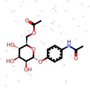 CC(=O)Nc1ccc(O[C@H]2O[C@H](COC(C)=O)[C@@H](O)[C@H](O)[C@@H]2O)cc1